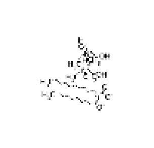 CCCCCCCCCC(=O)[O-].CCCCCCCCCCCC(=O)[O-].CC[N+](C)(CC)CCO.CC[N+](C)(CC)CCO